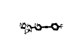 CON=C(Cn1ccnc1)c1ccc(C#Cc2ccc(F)cc2)cn1